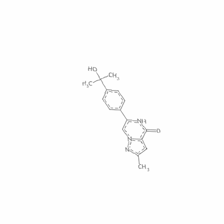 Cc1cc2c(=O)[nH]c(-c3ccc(C(C)(C)O)cc3)cn2n1